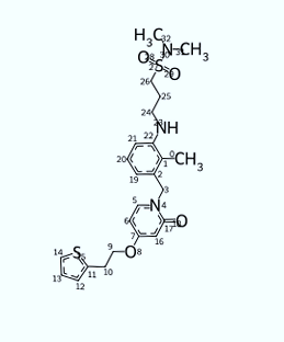 Cc1c(Cn2ccc(OCCc3cccs3)cc2=O)cccc1NCCCS(=O)(=O)N(C)C